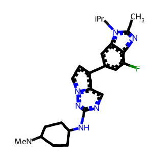 CNC1CCC(Nc2ncc3c(-c4cc(F)c5nc(C)n(C(C)C)c5c4)ccn3n2)CC1